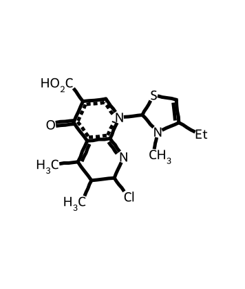 CCC1=CSC(n2cc(C(=O)O)c(=O)c3c2=NC(Cl)C(C)C=3C)N1C